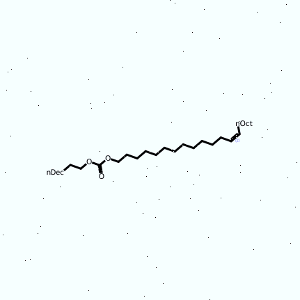 CCCCCCCC/C=C\CCCCCCCCCCCCOC(=O)OCCCCCCCCCCCC